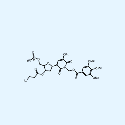 COc1cc(C(=O)OCn2c(=O)c(C)cn([C@H]3C[C@@H](OC(=O)CCC(C)=O)C(CO[PH](=O)O)O3)c2=O)cc(OC)c1OC